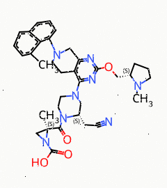 Cc1cccc2cccc(N3CCc4c(nc(OC[C@@H]5CCCN5C)nc4N4CCN(C(=O)[C@]5(C)CN5C(=O)O)[C@@H](CC#N)C4)C3)c12